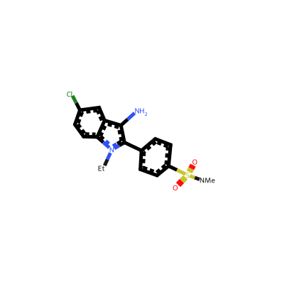 CCn1c(-c2ccc(S(=O)(=O)NC)cc2)c(N)c2cc(Cl)ccc21